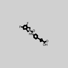 O=C(Nc1ccc(C23CC(C(=O)O)(C2)C3)cc1)N1Cc2cc(F)cc(F)c2C1